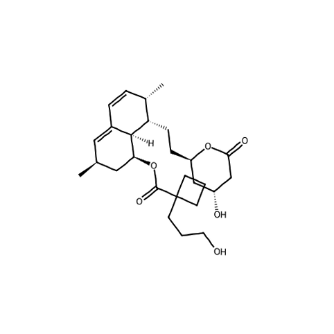 C[C@H]1C=C2C=C[C@H](C)[C@H](CC[C@@H]3C[C@@H](O)CC(=O)O3)[C@H]2[C@@H](OC(=O)C2(CCCO)CCC2)C1